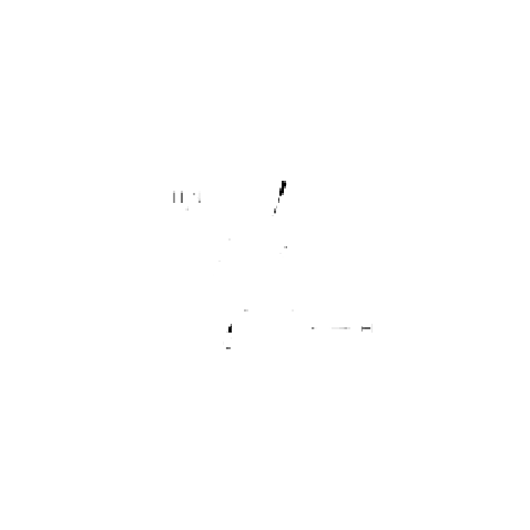 C[C@H]1OC(CO)[C@@H](O)[C@H](O)C1N